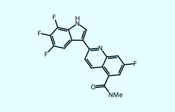 CNC(=O)c1cc(F)cc2nc(-c3c[nH]c4c(F)c(F)c(F)cc34)ccc12